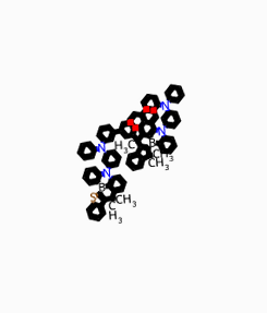 CC1(C)C2=C(c3ccccc31)C(C)(c1cccc(-c3cccc(N(c4ccccc4)c4cccc(N5c6ccccc6B6c7sc8ccccc8c7C(C)(C)c7cccc5c76)c4)c3)c1)c1c3c(c4cccc5c4c1CC=C5)N(c1cccc(N(c4ccccc4)c4ccccc4)c1)c1ccccc1B23